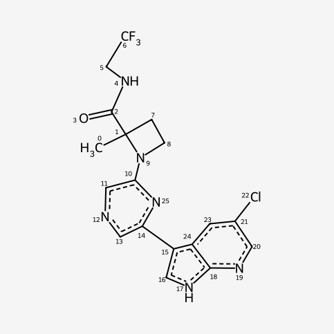 CC1(C(=O)NCC(F)(F)F)CCN1c1cncc(-c2c[nH]c3ncc(Cl)cc23)n1